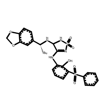 CC(C)(C)[C@@H](NC1NS(=O)(=O)N=C1Nc1cccc(S(=O)(=O)c2ccccc2)c1O)c1ccc2c(c1)OCO2